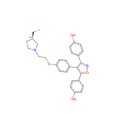 Oc1ccc(-c2noc(-c3ccc(O)cc3)c2-c2ccc(OCCN3CC[C@@H](CF)C3)cc2)cc1